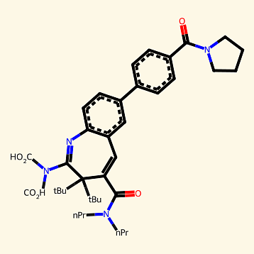 CCCN(CCC)C(=O)C1=Cc2cc(-c3ccc(C(=O)N4CCCC4)cc3)ccc2N=C(N(C(=O)O)C(=O)O)C1(C(C)(C)C)C(C)(C)C